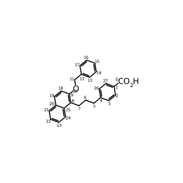 O=C(O)c1ccc(CCCc2c(OCc3ccccc3)ccc3ccccc23)cc1